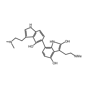 CNCCc1c(O)[nH]c2c(-c3ccc4[nH]cc(CCN(C)C)c4c3O)ccc(O)c12